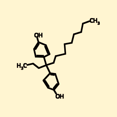 CCCCCCCCCC(CCC)(c1ccc(O)cc1)c1ccc(O)cc1